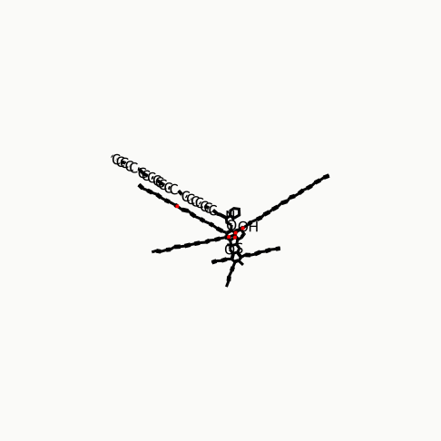 C#CC#CC#CC#CC#CC#CC#CC#CC#CC#CC#Cc1cc(C2(C)Oc3c(C#CC#C)c(C#CC#CC)c(C)c(C#CC#CC#CC#C)c3SC2c2ccc(O)cc2C#CC#CC#CC#CC#CC#CC#CC#CC)cc(C#CC#CC#CC#CC#CC#CC#CC#CC#CC#C)c1OCC(=C=C=C=C=C=C=C=C=C=C=C=C=C=C=C=C=C=C=C=C=C=C=C=C=C=C)N1CCCCC1